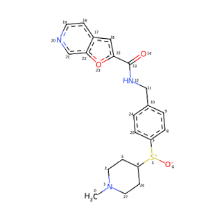 CN1CCC([S+]([O-])c2ccc(CNC(=O)c3cc4ccncc4o3)cc2)CC1